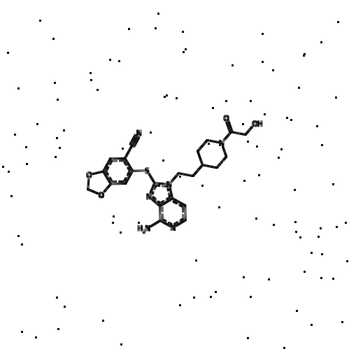 N#Cc1cc2c(cc1Sc1nc3c(N)nccc3n1CCC1CCN(C(=O)CO)CC1)OCO2